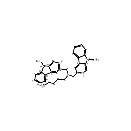 CCCCn1c2ccccc2c2cc(CN(CCCCN)Cc3cc4c5ccccc5n(CCCC)c4cn3)ncc21